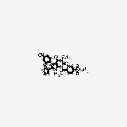 C[C@H](c1ccc(S(N)(=O)=O)cn1)n1c(=O)n(C)c(=O)c2c1nc(-c1ccnn1C)n2-c1ccc(Cl)cc1